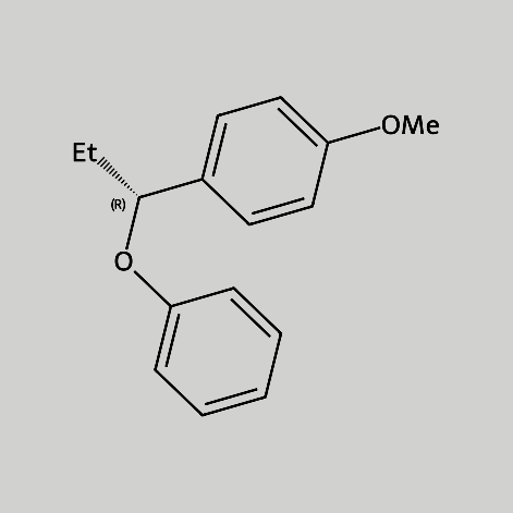 CC[C@@H](Oc1ccccc1)c1ccc(OC)cc1